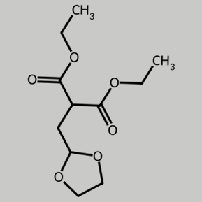 CCOC(=O)C(CC1OCCO1)C(=O)OCC